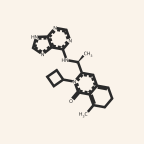 CC1=c2c(cc([C@H](C)Nc3ncnc4[nH]cnc34)n(C3CCC3)c2=O)=CCC1